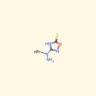 CCCN(N)c1noc(=S)[nH]1